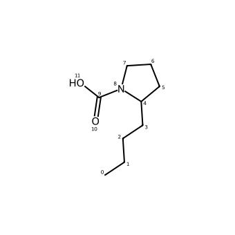 CCCCC1CCCN1C(=O)O